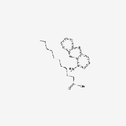 CCCCCCCCCCC(=O)O.Nc1cccc2nc3ccccc3cc12